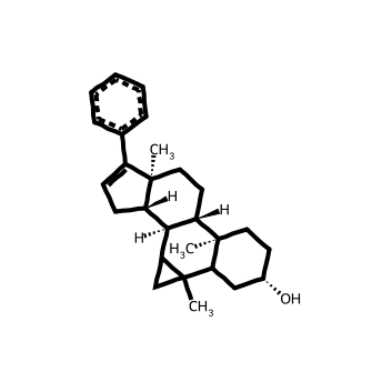 CC12CC1[C@@H]1[C@H](CC[C@]3(C)C(c4ccccc4)=CC[C@@H]13)[C@@]1(C)CC[C@H](O)CC21